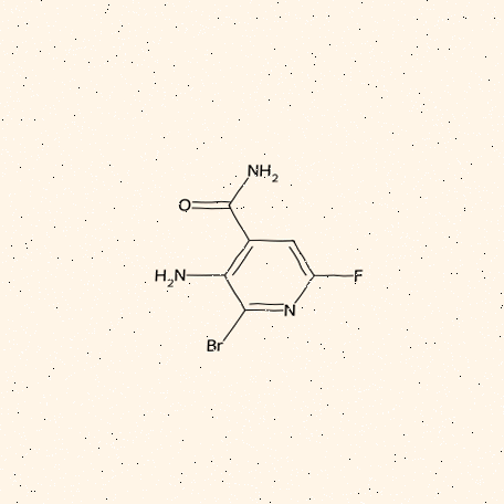 NC(=O)c1cc(F)nc(Br)c1N